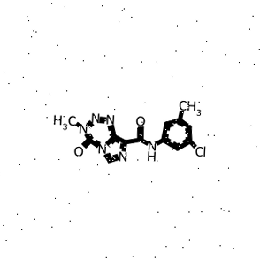 Cc1cc(Cl)cc(NC(=O)c2ncn3c(=O)n(C)nnc23)c1